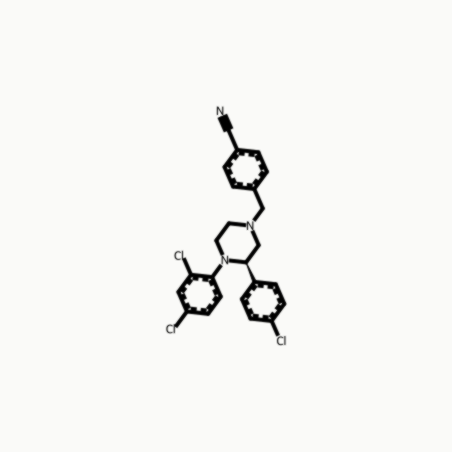 N#Cc1ccc(CN2CCN(c3ccc(Cl)cc3Cl)[C@H](c3ccc(Cl)cc3)C2)cc1